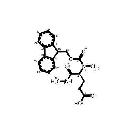 CNC(=O)[C@H](CCC(=O)O)N(C)C(=O)OCC1c2ccccc2-c2ccccc21